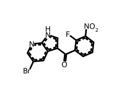 O=C(c1cccc([N+](=O)[O-])c1F)c1c[nH]c2ncc(Br)cc12